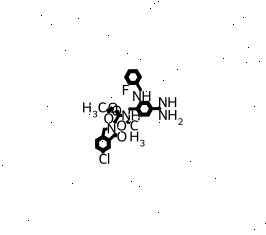 CCO[C@](OC(C)=O)(C(=O)NCc1ccc(C(=N)N)cc1NCc1ccccc1F)N1Cc2ccc(Cl)cc2C1=O